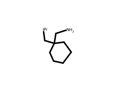 CC(C)CC1(CN)CCCCC1